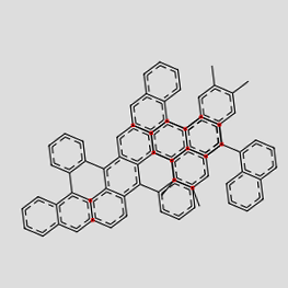 Cc1cc2c(-c3cccc4ccccc34)c3cc(C)c(C)c(-c4cccc5c(-c6ccccc6-c6cccc7ccccc67)c6ccccc6c(-c6ccccc6-c6cccc7ccccc67)c45)c3c(-c3cccc4ccccc34)c2cc1C